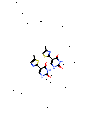 Cc1cnc(-c2c[nH]c(=O)[nH]c2=O)s1.Cc1csc(-c2c[nH]c(=O)[nH]c2=O)n1